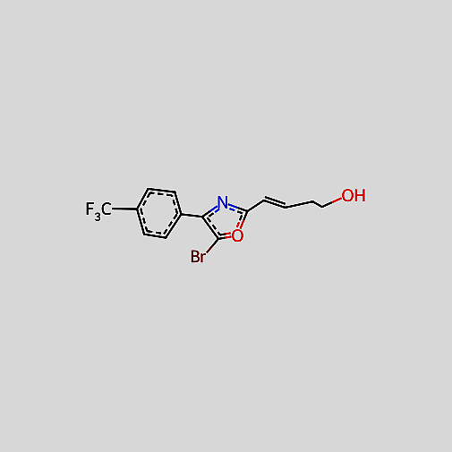 OCCC=Cc1nc(-c2ccc(C(F)(F)F)cc2)c(Br)o1